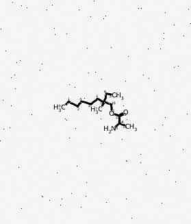 CCCCCCC(C)(CC)COC(=O)C(C)N